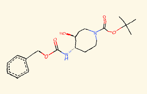 CC(C)(C)OC(=O)N1CC[C@H](NC(=O)OCc2ccccc2)[C@@H](O)C1